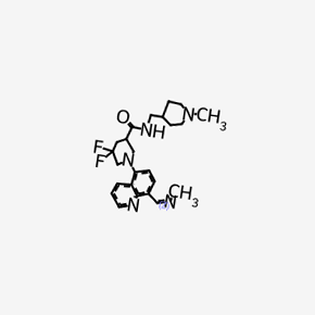 C/N=C\c1ccc(N2CC(C(=O)NCC3CCN(C)CC3)CC(F)(F)C2)c2cccnc12